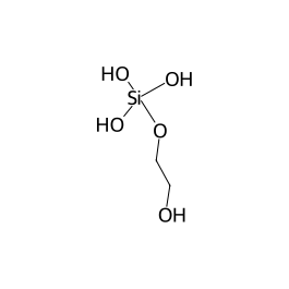 OCCO[Si](O)(O)O